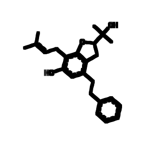 CC(C)=CCc1c(O)cc(CCc2ccccc2)c2c1OC(C(C)(C)O)C2